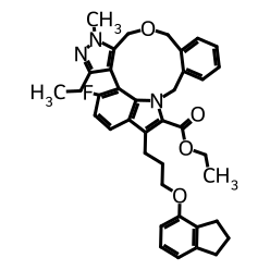 CCOC(=O)c1c(CCCOc2cccc3c2CCC3)c2ccc(F)c3c2n1Cc1ccccc1COCc1c-3c(CC)nn1C